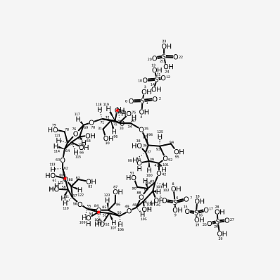 O=S(=O)(O)O.O=S(=O)(O)O.O=S(=O)(O)O.O=S(=O)(O)O.O=S(=O)(O)O.O=S(=O)(O)O.OC[C@H]1O[C@@H]2O[C@H]3[C@H](O)[C@@H](O)[C@@H](O[C@H]4[C@H](O)[C@@H](O)[C@@H](O[C@H]5[C@H](O)[C@@H](O)[C@@H](O[C@H]6[C@H](O)[C@@H](O)[C@@H](O[C@H]7[C@H](O)[C@@H](O)[C@@H](O[C@H]1[C@H](O)[C@H]2O)O[C@@H]7CO)O[C@@H]6CO)O[C@@H]5CO)O[C@@H]4CO)O[C@@H]3CO